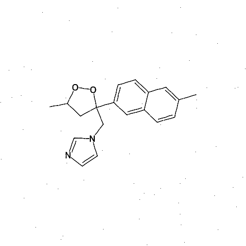 Cc1ccc2cc(C3(Cn4ccnc4)CC(C)OO3)ccc2c1